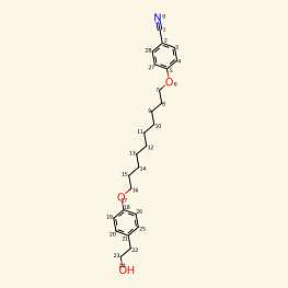 N#Cc1ccc(OCCCCCCCCCCOc2ccc(CCO)cc2)cc1